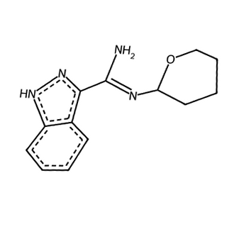 NC(=NC1CCCCO1)c1n[nH]c2ccccc12